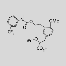 COc1ccc(CC(OC(C)C)C(=O)O)cc1CCOC(=O)Nc1cccc(C(F)(F)F)c1